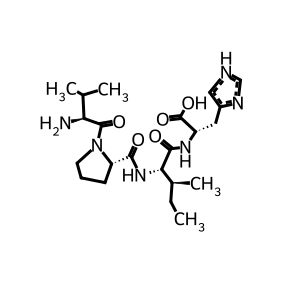 CC[C@H](C)[C@H](NC(=O)[C@@H]1CCCN1C(=O)[C@@H](N)C(C)C)C(=O)N[C@@H](Cc1c[nH]cn1)C(=O)O